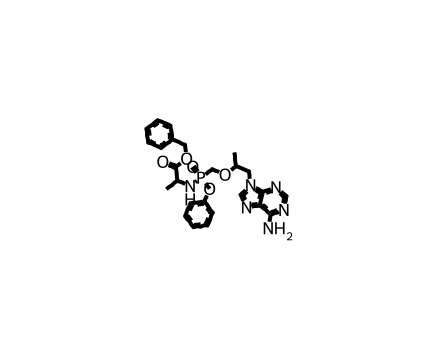 CC(Cn1cnc2c(N)ncnc21)OCP(=O)(NC(C)C(=O)OCc1ccccc1)Oc1ccccc1